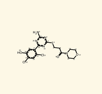 Nc1nc(SCCC(=O)N2CCOCC2)nc(-c2cc(O)c(Cl)cc2Cl)n1